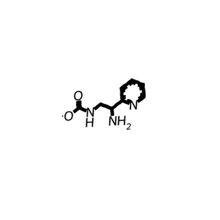 NC(CNC([O])=O)c1ccccn1